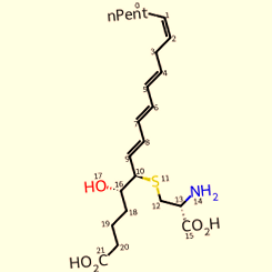 CCCCC/C=C\C/C=C/C=C/C=C/[C@@H](SC[C@H](N)C(=O)O)[C@@H](O)CCCC(=O)O